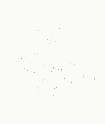 CCO[Si](C=C[Si](c1ccccc1)(N1CCN(C)CC1)N1CCN(C)CC1)(OCC)OCC